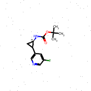 CC(C)(C)OC(=O)N[C@@H]1CC1c1cncc(F)c1